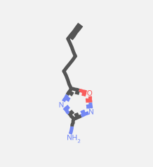 C=CCCc1nc(N)no1